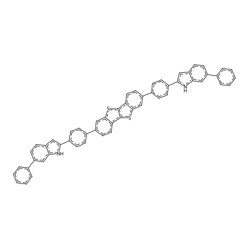 c1ccc(-c2ccc3cc(-c4ccc(-c5ccc6c(c5)sc5c7ccc(-c8ccc(-c9cc%10ccc(-c%11ccccc%11)cc%10[nH]9)cc8)cc7sc65)cc4)[nH]c3c2)cc1